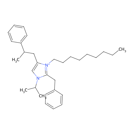 CCCCCCCCC[n+]1c(CC(C)c2ccccc2)cn(C(C)C)c1Cc1ccccc1